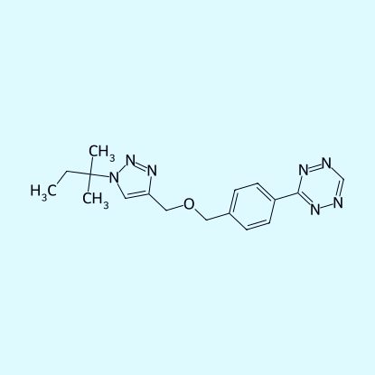 CCC(C)(C)n1cc(COCc2ccc(-c3nncnn3)cc2)nn1